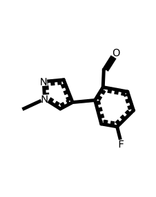 Cn1cc(-c2cc(F)ccc2C=O)cn1